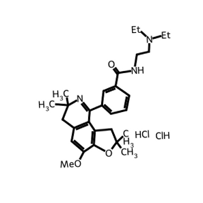 CCN(CC)CCNC(=O)c1cccc(C2=NC(C)(C)Cc3cc(OC)c4c(c32)CC(C)(C)O4)c1.Cl.Cl